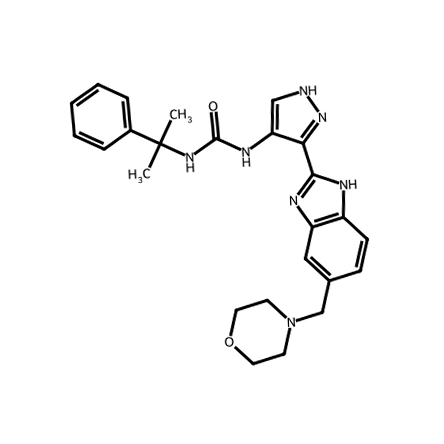 CC(C)(NC(=O)Nc1c[nH]nc1-c1nc2cc(CN3CCOCC3)ccc2[nH]1)c1ccccc1